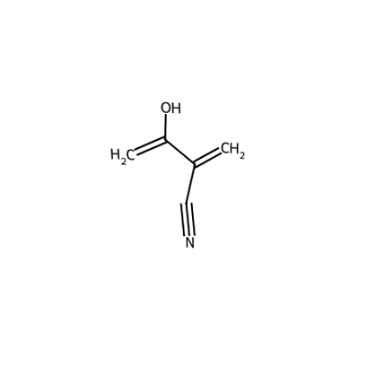 C=C(O)C(=C)C#N